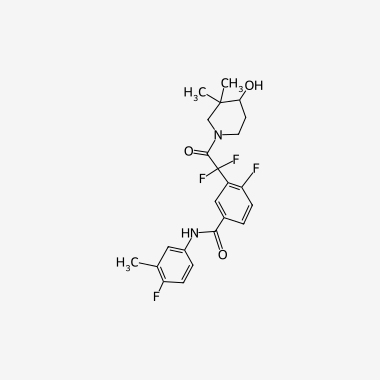 Cc1cc(NC(=O)c2ccc(F)c(C(F)(F)C(=O)N3CCC(O)C(C)(C)C3)c2)ccc1F